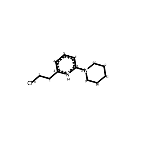 ClCCc1cccc(N2CCCCC2)n1